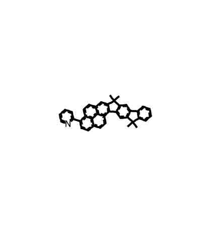 CC1(C)c2ccccc2-c2cc3c(cc21)-c1c(cc2ccc4c(-c5ccccn5)ccc5ccc1c2c54)C3(C)C